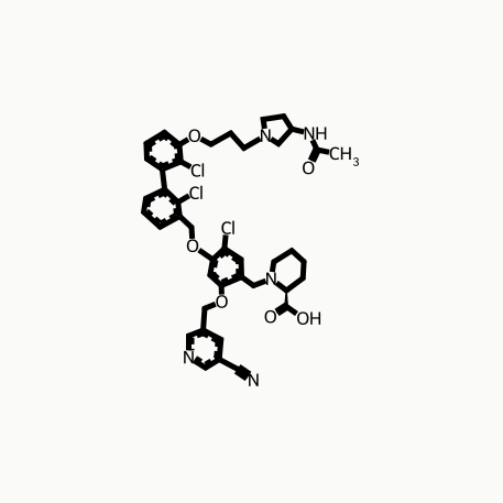 CC(=O)NC1CCN(CCCOc2cccc(-c3cccc(COc4cc(OCc5cncc(C#N)c5)c(CN5CCCC[C@H]5C(=O)O)cc4Cl)c3Cl)c2Cl)C1